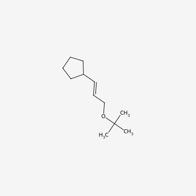 CC(C)(C)OC/C=C/C1CCCC1